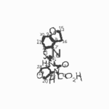 O=C(O)N1C(=O)N(c2nc3c4c(ccc3s2)OCC4)[C@@H]2COC[C@@H]21